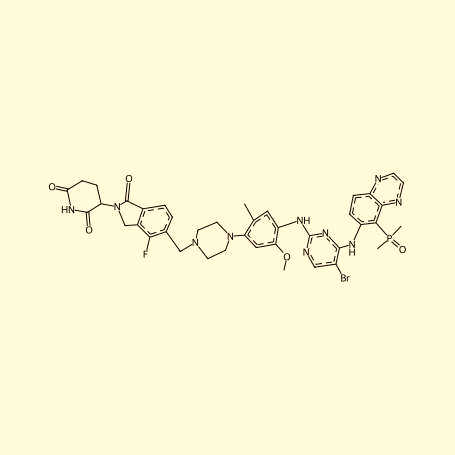 COc1cc(N2CCN(Cc3ccc4c(c3F)CN(C3CCC(=O)NC3=O)C4=O)CC2)c(C)cc1Nc1ncc(Br)c(Nc2ccc3nccnc3c2P(C)(C)=O)n1